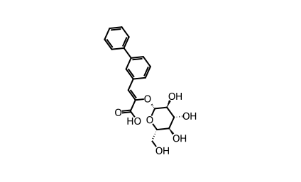 O=C(O)/C(=C/c1cccc(-c2ccccc2)c1)O[C@H]1O[C@@H](CO)[C@H](O)[C@@H](O)[C@@H]1O